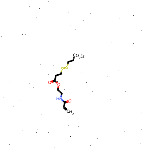 C=CC(=O)NCCOC(=O)CCSSCCC(=O)OCC